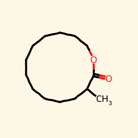 CC1CCCCCCCCCCCOC1=O